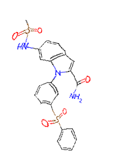 CS(=O)(=O)Nc1ccc2cc(C(N)=O)n(-c3cccc(S(=O)(=O)c4ccccc4)c3)c2c1